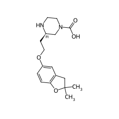 CC1(C)Cc2cc(OCC[C@@H]3CN(C(=O)O)CCN3)ccc2O1